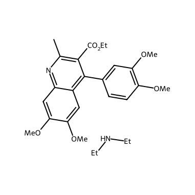 CCNCC.CCOC(=O)c1c(C)nc2cc(OC)c(OC)cc2c1-c1ccc(OC)c(OC)c1